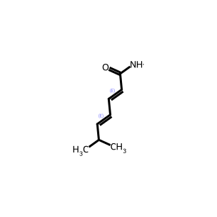 CC(C)/C=C/C=C/C([NH])=O